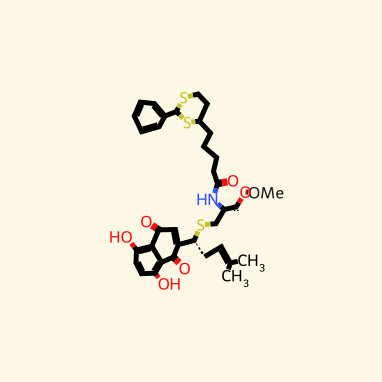 COO[C]C(CS[C@H](CC=C(C)C)C1=CC(=O)c2c(O)ccc(O)c2C1=O)NC(=O)CCCCC1CCSC(c2ccccc2)S1